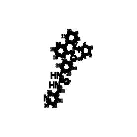 CC1CCCN1Cc1ccccc1-c1ccccc1COc1ccc(NC(=O)NCc2cccnc2)cc1